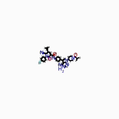 CC(C)C(=O)N1CCC(n2cc(-c3ccc(NC(=O)c4cc(C5CC5)c(C#N)n(-c5ccc(F)cc5)c4=O)cc3)c3c(N)ncnc32)CC1